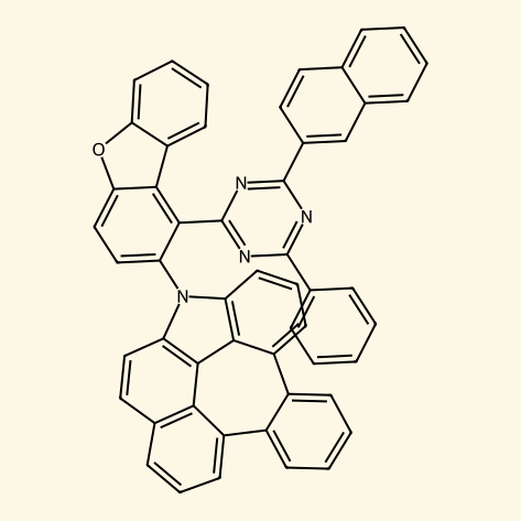 c1ccc(-c2nc(-c3ccc4ccccc4c3)nc(-c3c(-n4c5cccc6c5c5c7c(cccc7ccc54)-c4ccccc4-6)ccc4oc5ccccc5c34)n2)cc1